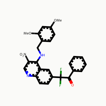 COc1ccc(CNc2c([N+](=O)[O-])cnc3ccc(C(F)(F)C(=O)c4ccccc4)cc23)c(OC)c1